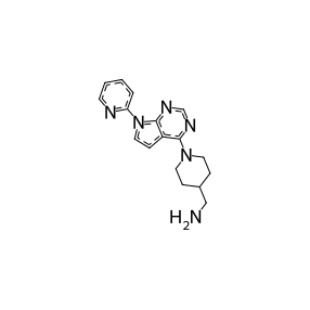 NCC1CCN(c2ncnc3c2ccn3-c2ccccn2)CC1